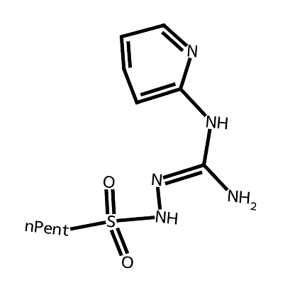 CCCCCS(=O)(=O)NN=C(N)Nc1ccccn1